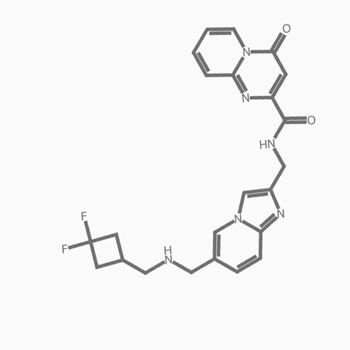 O=C(NCc1cn2cc(CNCC3CC(F)(F)C3)ccc2n1)c1cc(=O)n2ccccc2n1